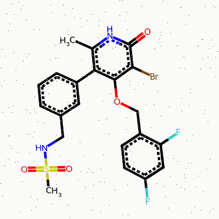 Cc1[nH]c(=O)c(Br)c(OCc2ccc(F)cc2F)c1-c1cccc(CNS(C)(=O)=O)c1